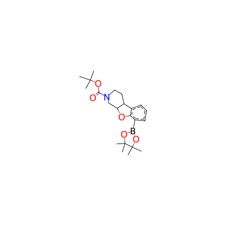 CC(C)(C)OC(=O)N1CCC2c3cccc(B4OC(C)(C)C(C)(C)O4)c3OC2C1